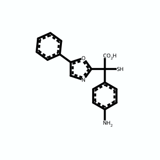 Nc1ccc(C(S)(C(=O)O)c2ncc(-c3ccccc3)o2)cc1